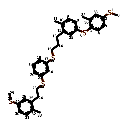 CSc1ccc(Sc2ccc(C)c(CCCSc3cccc(SCCc4cc(SC)ccc4C)c3)c2)c(C)c1